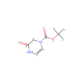 CC(C)(C)OC(=O)N1C=CNC(=O)C1